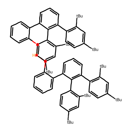 CC(C)(C)c1ccc(-c2cccc(-c3ccccc3OPOc3ccccc3-c3cccc(-c4ccc(C(C)(C)C)cc4C(C)(C)C)c3-c3ccc(C(C)(C)C)cc3C(C)(C)C)c2-c2ccc(C(C)(C)C)cc2C(C)(C)C)c(C(C)(C)C)c1